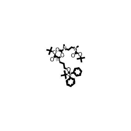 CN(CCN(C)C(=O)OC(C)(C)C)C(=O)O[C@@H](CCCO[Si](c1ccccc1)(c1ccccc1)C(C)(C)C)C(=O)OC(C)(C)C